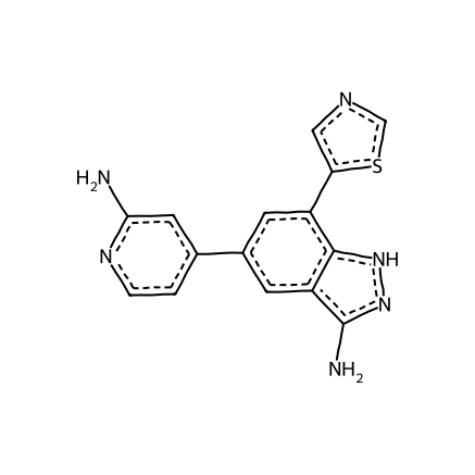 Nc1cc(-c2cc(-c3cncs3)c3[nH]nc(N)c3c2)ccn1